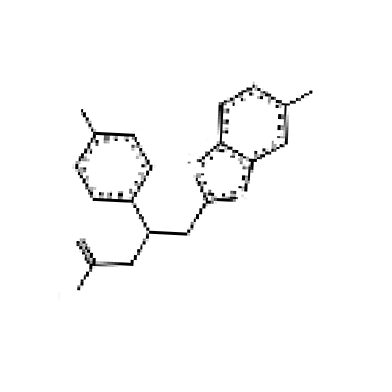 O=C(O)CC(Cc1nc2cc(Cl)ccc2[nH]1)c1ccc(Br)cc1